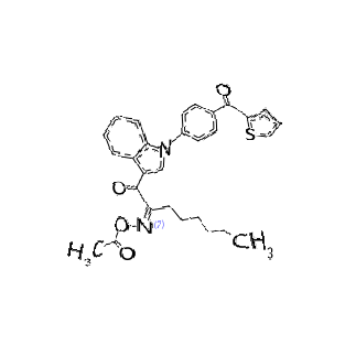 CCCCCC/C(=N/OC(C)=O)C(=O)c1cn(-c2ccc(C(=O)c3cccs3)cc2)c2ccccc12